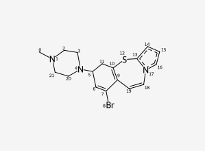 CN1CCN(C2C=C(Br)C3=C(C2)Sc2cccn2C=C3)CC1